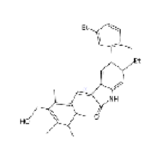 CCc1ccc(C)c(C2C=C3C(=CC2CC)NC(=O)/C3=C\C2=C(C)C(CO)=C(C)C(C)C2C)c1